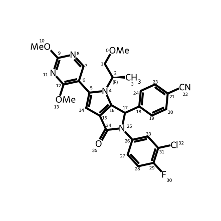 COC[C@@H](C)n1c(-c2cnc(OC)nc2OC)cc2c1C(c1ccc(C#N)cc1)N(c1ccc(F)c(Cl)c1)C2=O